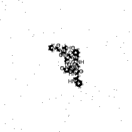 CC(C)C[C@H](NC(=O)[C@@H](CC(C)C)NC(=O)[C@H](Cc1ccc(O)cc1)NC(=O)CNC(=O)[C@H](Cc1c[nH]c2ccccc12)NC(=O)CNC(=O)[C@]1(C)CCC(=O)N1)C(=O)NCC(=O)N1CCCC1